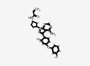 C=CC(=O)N[C@H]1CCC(n2nc(-c3ccc(Oc4cccc(F)c4)cc3F)c3c(N)ncnc32)C1